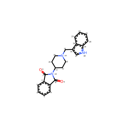 O=C1c2ccccc2C(=O)N1C1CCN(Cc2c[nH]c3ccccc23)CC1